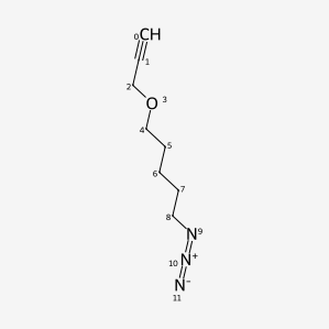 C#CCOCCCCCN=[N+]=[N-]